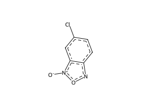 [O-][n+]1onc2ccc(Cl)cc21